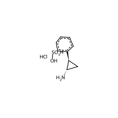 Cl.N[C@H]1C[C@@H]1c1ccccc1.O=S(=O)(O)O